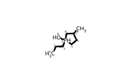 CCC[PH]1(O)CCC(C)C1